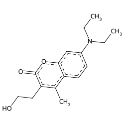 CCN(CC)c1ccc2c(C)c(CCO)c(=O)oc2c1